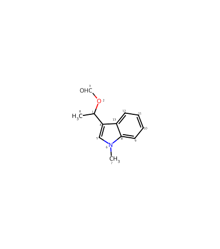 CC(OC=O)c1cn(C)c2ccccc12